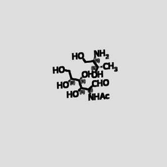 CC(=O)N[C@@H](C=O)[C@@H](O)[C@@H](O)[C@H](O)CO.C[C@H](O)[C@@H](N)CO